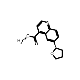 COC(=O)c1ccnc2ccc([C@H]3CCCO3)cc12